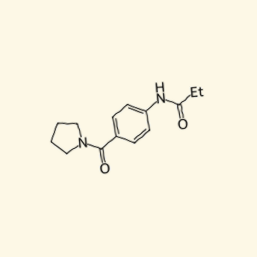 CCC(=O)Nc1ccc(C(=O)N2CCCC2)cc1